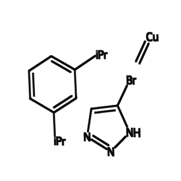 Brc1cnn[nH]1.CC(C)c1cccc(C(C)C)c1.[CH2]=[Cu]